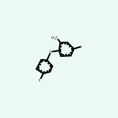 Cc1cc(I)ccc1Oc1ccc(F)cc1